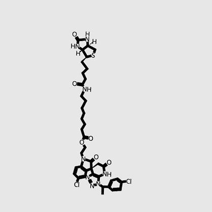 CC(c1ccc(Cl)cc1)n1nnc2c1NC(=O)C[C@@]21C(=O)N(CCOC(=O)CCCCCCCNC(=O)CCCC[C@@H]2SC[C@@H]3NC(=O)N[C@@H]32)c2ccc(Cl)cc21